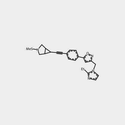 CCc1nccn1Cc1cc(-c2ccc(C#CC3C4CN(SC)CC34)cc2)on1